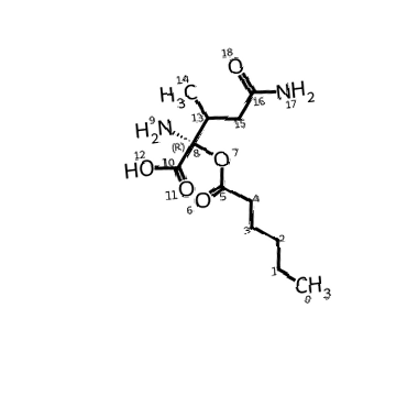 CCCCCC(=O)O[C@@](N)(C(=O)O)C(C)CC(N)=O